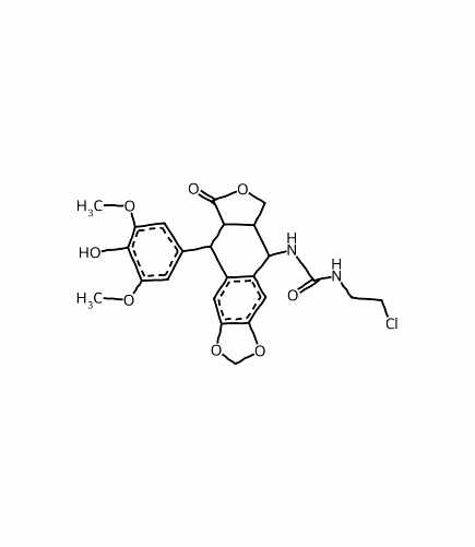 COc1cc(C2c3cc4c(cc3C(NC(=O)NCCCl)C3COC(=O)C23)OCO4)cc(OC)c1O